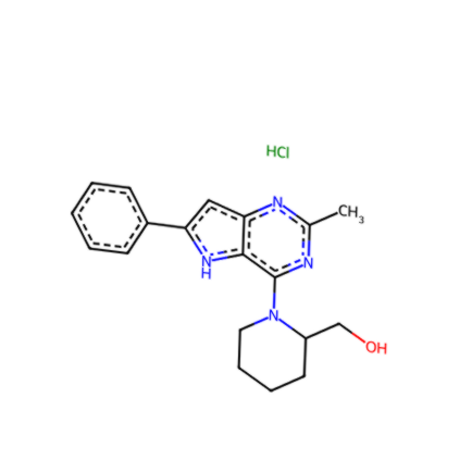 Cc1nc(N2CCCCC2CO)c2[nH]c(-c3ccccc3)cc2n1.Cl